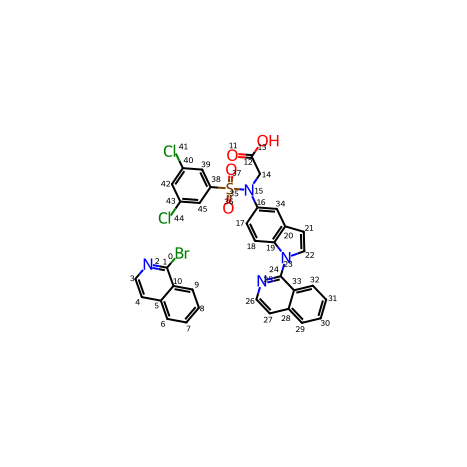 Brc1nccc2ccccc12.O=C(O)CN(c1ccc2c(ccn2-c2nccc3ccccc23)c1)S(=O)(=O)c1cc(Cl)cc(Cl)c1